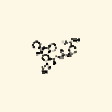 CC(C(=O)O)c1cccc(NC(=O)NCC(=O)N2[C@@H](C(=O)OC(C)(C)C)C[C@H](S(=O)(=O)c3ccccc3)[C@H]2c2ccccc2F)c1